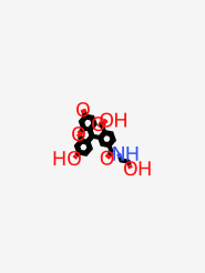 O=C(NCCO)c1ccc(C(=O)O)c(-c2c3ccc(=O)cc-3oc3cc(O)ccc23)c1